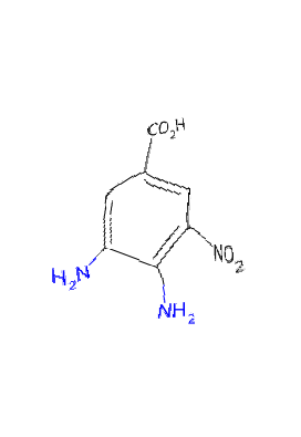 Nc1cc(C(=O)O)cc([N+](=O)[O-])c1N